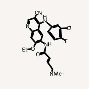 CCOc1cc2ncc(C#N)c(Nc3ccc(F)c(Cl)c3)c2cc1NC(=O)C=CCNC